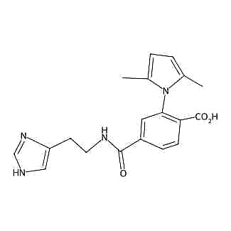 Cc1ccc(C)n1-c1cc(C(=O)NCCc2c[nH]cn2)ccc1C(=O)O